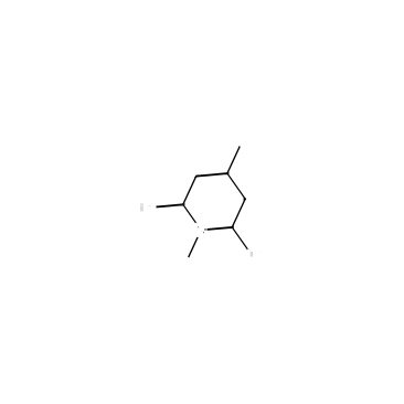 CC1CC(C(C)C)N(C)C(C(C)C)C1